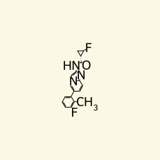 Cc1c(F)cccc1-c1ccc2nc(NC(=O)[C@@H]3C[C@H]3F)cn2c1